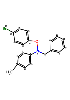 [CH2]c1ccc(N(Cc2ccccc2)Oc2ccc(Br)cc2)cc1